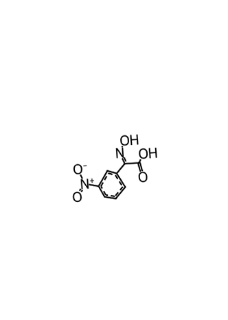 O=C(O)C(=NO)c1cccc([N+](=O)[O-])c1